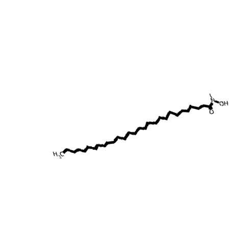 CCCCCCCCCCCCCCCCCCCCCCCCCCCCC(=O)N(O)I